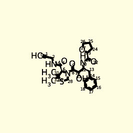 C#CCNC(=O)[C@H]1N(C(=O)[C@@H](O)[C@H](Cc2ccccc2)NC(=O)[C@@H]2CCCO2)CSC1(C)C